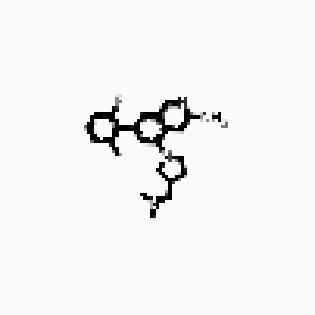 Cc1cccc(F)c1-c1cc(N2CCC(CN(C)C)C2)c2cc(N)ncc2c1